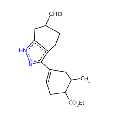 CCOC(=O)C1CC=C(c2n[nH]c3c2CCC(C=O)C3)CC1C